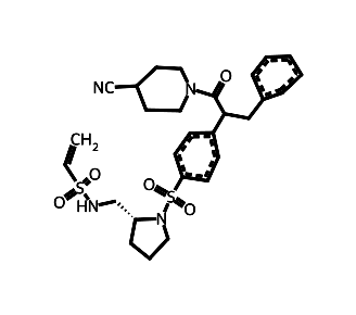 C=CS(=O)(=O)NC[C@H]1CCCN1S(=O)(=O)c1ccc(C(Cc2ccccc2)C(=O)N2CCC(C#N)CC2)cc1